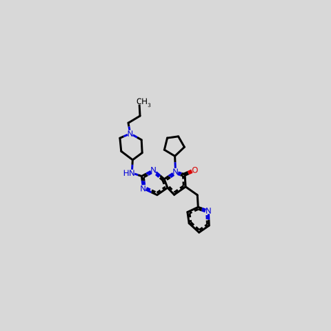 CCCN1CCC(Nc2ncc3cc(Cc4ccccn4)c(=O)n(C4CCCC4)c3n2)CC1